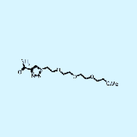 COCCOCCOCCOCCn1cc(C(N)=O)nn1